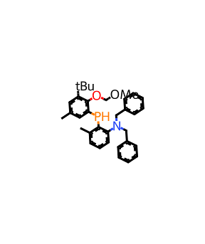 COCOc1c(Pc2c(C)cccc2N(Cc2ccccc2)Cc2ccccc2)cc(C)cc1C(C)(C)C